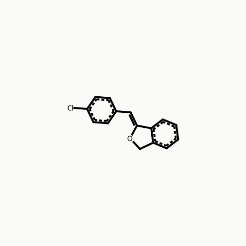 Clc1ccc(C=C2OCc3ccccc32)cc1